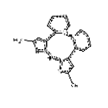 Cc1cc2c3cccc[n+]3[n+]3ccccc3c3cc(C)nn3[pH]n2n1